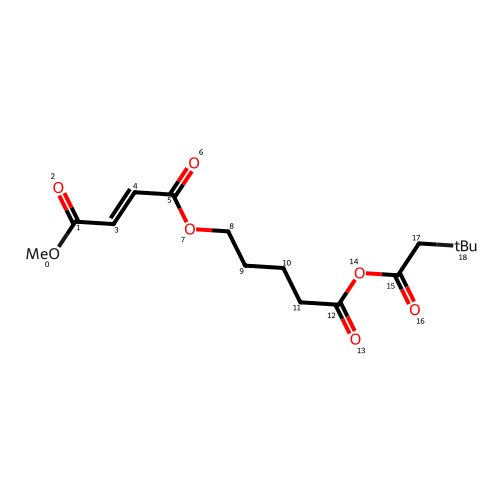 COC(=O)C=CC(=O)OCCCCC(=O)OC(=O)CC(C)(C)C